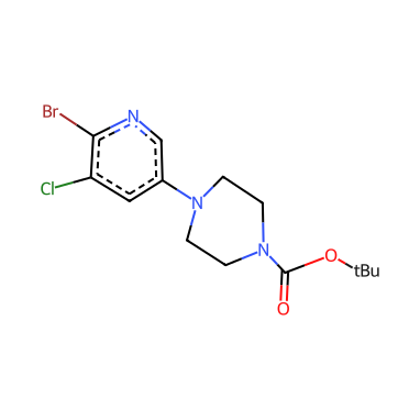 CC(C)(C)OC(=O)N1CCN(c2cnc(Br)c(Cl)c2)CC1